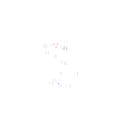 CCC(C)(CCOC(C)(C)CCC(=O)NCCCCC(NC(C)(C)C)C(=O)C(C)(C)CC)NC